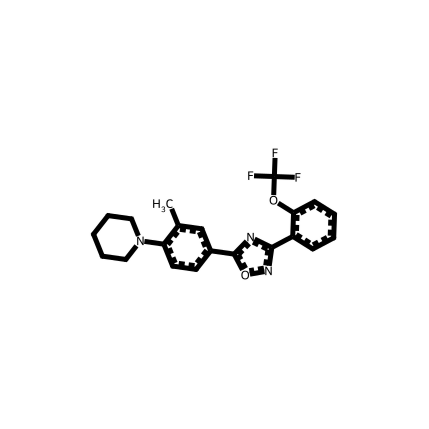 Cc1cc(-c2nc(-c3ccccc3OC(F)(F)F)no2)ccc1N1CCCCC1